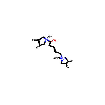 CCC[N+]1(CCCCC(O)[N+]2(CCC)CC(CC)C(CC)C2)CC(CC)C(CC)C1